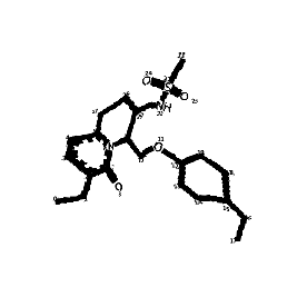 CCc1ccc2n(c1=O)C(COC1CCC(CC)CC1)C(NS(C)(=O)=O)CC2